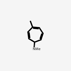 CNC1C=CC=C(C)C=C1